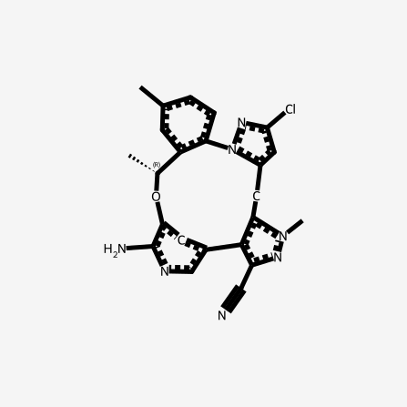 Cc1ccc2c(c1)[C@@H](C)Oc1cc(cnc1N)-c1c(C#N)nn(C)c1Cc1cc(Cl)nn1-2